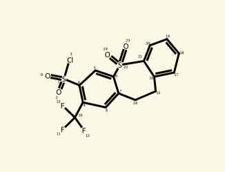 O=S(=O)(Cl)c1cc2c(cc1C(F)(F)F)CCc1ccccc1S2(=O)=O